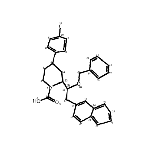 O=C(O)N1CCC(c2ccc(F)cc2)CC1[C@H](Cc1ccc2ccccc2c1)OCc1ccccc1